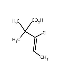 CC=C(Cl)C(C)(C)C(=O)O